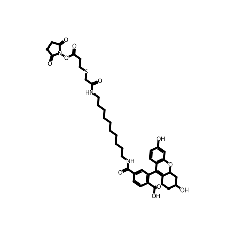 O=C(CSCCC(=O)ON1C(=O)CCC1=O)NCCCCCCCCCCNC(=O)c1ccc(C(=O)O)c(C2=C3CCC(O)CC3Oc3cc(O)ccc32)c1